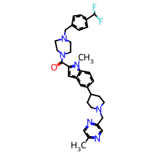 Cc1cnc(CN2CCC(c3ccc4c(c3)cc(C(=O)N3CCN(Cc5ccc(C(F)F)cc5)CC3)n4C)CC2)cn1